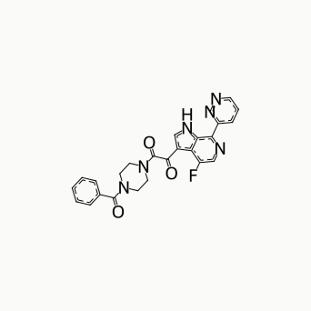 O=C(C(=O)N1CCN(C(=O)c2ccccc2)CC1)c1c[nH]c2c(-c3cccnn3)ncc(F)c12